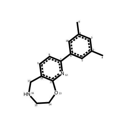 Cc1cc(C)cc(-c2ccc3c(n2)OCCNC3)c1